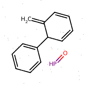 C=C1C=CC=CC1c1ccccc1.O=P